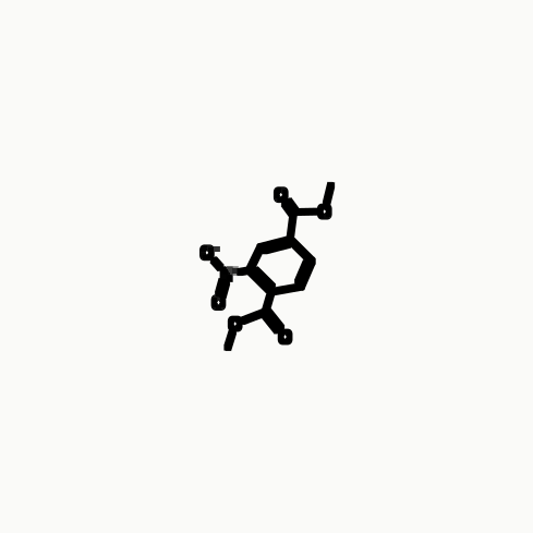 COC(=O)c1ccc(C(=O)OC)c([N+](=O)[O-])c1